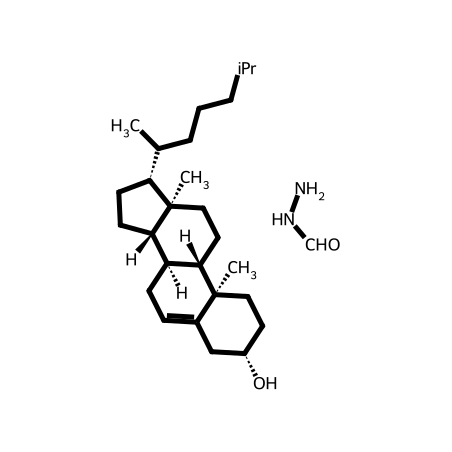 CC(C)CCCC(C)[C@H]1CC[C@H]2[C@@H]3CC=C4C[C@@H](O)CC[C@]4(C)[C@H]3CC[C@]12C.NNC=O